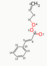 C=CCCOOC(=O)C=Cc1ccccc1